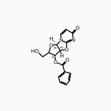 O=C(O[C@H]1C(CO)O[C@@H]2[C@@H]1Oc1nc(=O)ccn12)c1ccccc1